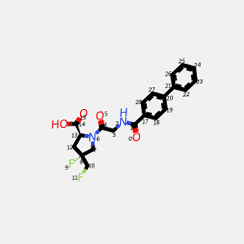 O=C(NCC(=O)N1C[C@@](F)(CF)C[C@H]1C(=O)O)c1ccc(-c2ccccc2)cc1